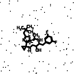 C=C(C)NC(Cc1cc(F)cc(F)c1)C(O)CNC1(c2csc(CC(C)(C)C)n2)CC1